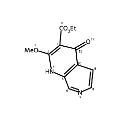 CCOC(=O)c1c(OC)[nH]c2cnccc2c1=O